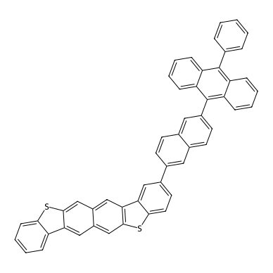 c1ccc(-c2c3ccccc3c(-c3ccc4cc(-c5ccc6sc7cc8cc9c(cc8cc7c6c5)sc5ccccc59)ccc4c3)c3ccccc23)cc1